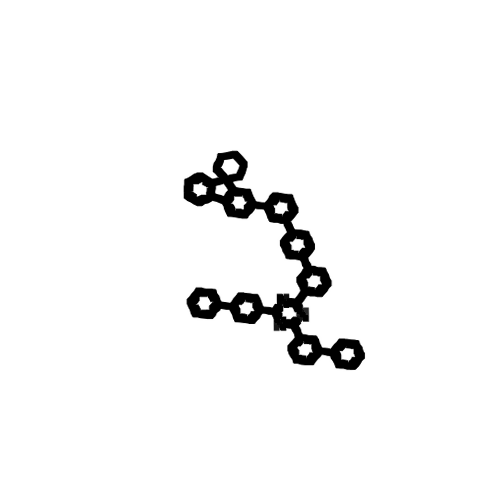 c1ccc(-c2ccc(-c3nc(-c4cccc(-c5ccccc5)c4)nc(-c4cccc(-c5ccc(-c6cccc(-c7ccc8c(c7)C7(CCCCC7)c7ccccc7-8)c6)cc5)c4)n3)cc2)cc1